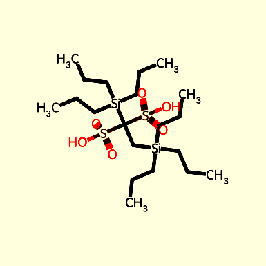 CCC[Si](CCC)(CCC)CC([Si](CCC)(CCC)CCC)(S(=O)(=O)O)S(=O)(=O)O